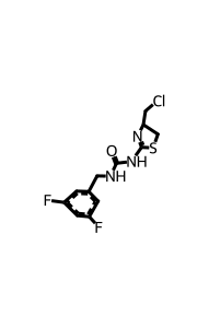 O=C(NCc1cc(F)cc(F)c1)NC1=NC(CCl)CS1